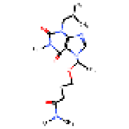 CC(C)Cn1c(=O)n(C)c(=O)c2c1ncn2C(C)OCCCC(=O)N(C)C